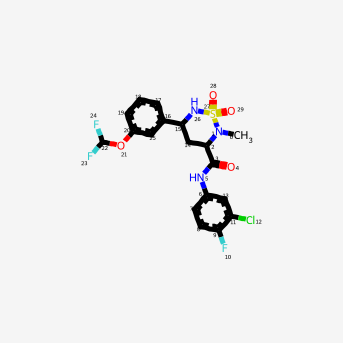 CN1C(C(=O)Nc2ccc(F)c(Cl)c2)CC(c2cccc(OC(F)F)c2)NS1(=O)=O